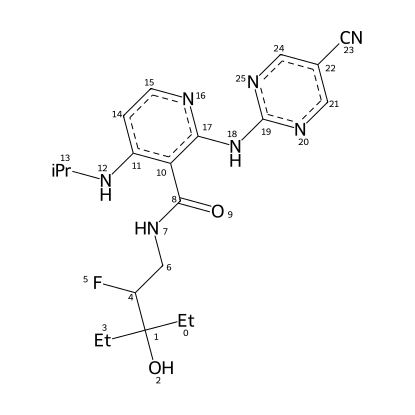 CCC(O)(CC)C(F)CNC(=O)c1c(NC(C)C)ccnc1Nc1ncc(C#N)cn1